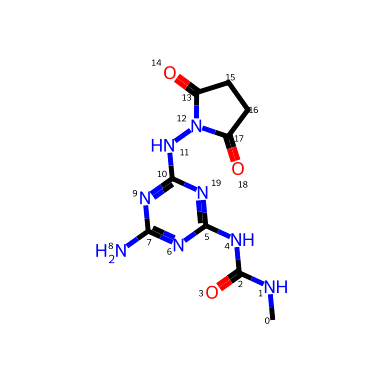 CNC(=O)Nc1nc(N)nc(NN2C(=O)CCC2=O)n1